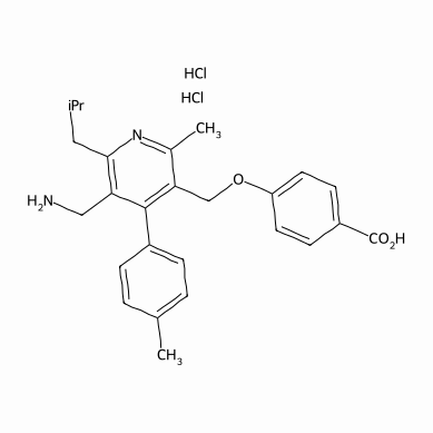 Cc1ccc(-c2c(COc3ccc(C(=O)O)cc3)c(C)nc(CC(C)C)c2CN)cc1.Cl.Cl